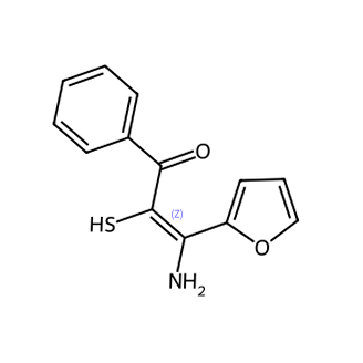 N/C(=C(\S)C(=O)c1ccccc1)c1ccco1